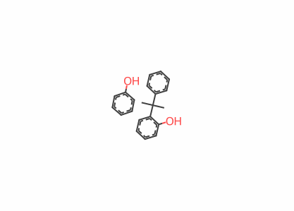 CC(C)(c1ccccc1)c1ccccc1O.Oc1ccccc1